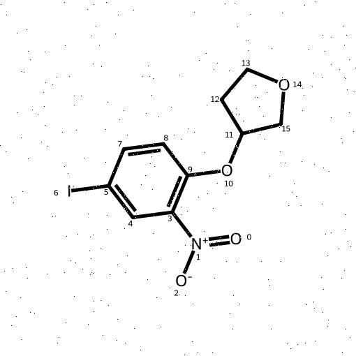 O=[N+]([O-])c1cc(I)ccc1OC1CCOC1